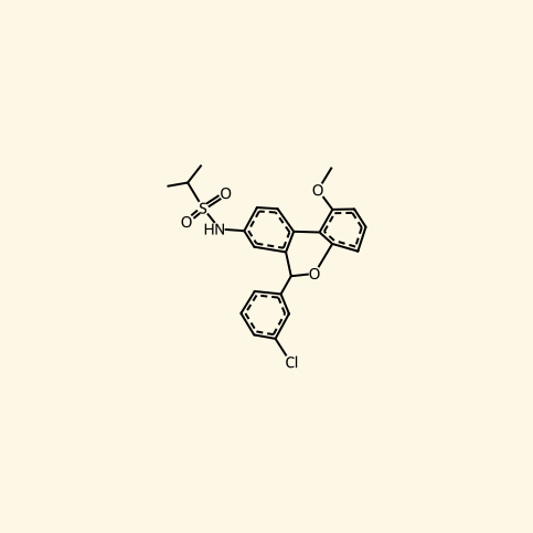 COc1cccc2c1-c1ccc(NS(=O)(=O)C(C)C)cc1C(c1cccc(Cl)c1)O2